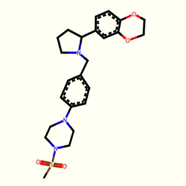 CS(=O)(=O)N1CCN(c2ccc(CN3CCCC3c3ccc4c(c3)OCCO4)cc2)CC1